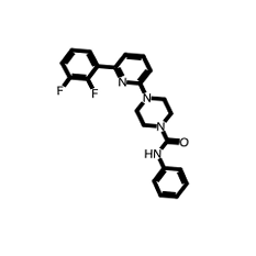 O=C(Nc1ccccc1)N1CCN(c2cccc(-c3cccc(F)c3F)n2)CC1